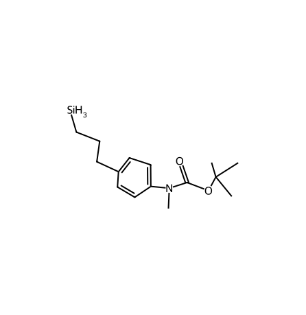 CN(C(=O)OC(C)(C)C)c1ccc(CCC[SiH3])cc1